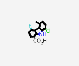 Cc1ccc(Cl)c2[nH]c3c(C(=O)O)ccc(F)c3c12